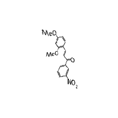 COc1ccc(C=CC(=O)c2cccc([N+](=O)[O-])c2)c(OC)c1